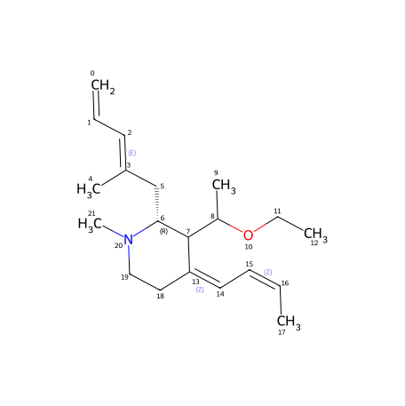 C=C/C=C(\C)C[C@@H]1C(C(C)OCC)/C(=C\C=C/C)CCN1C